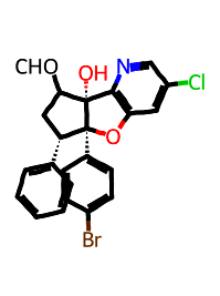 O=CC1C[C@@H](c2ccccc2)[C@]2(c3ccc(Br)cc3)Oc3cc(Cl)cnc3[C@]12O